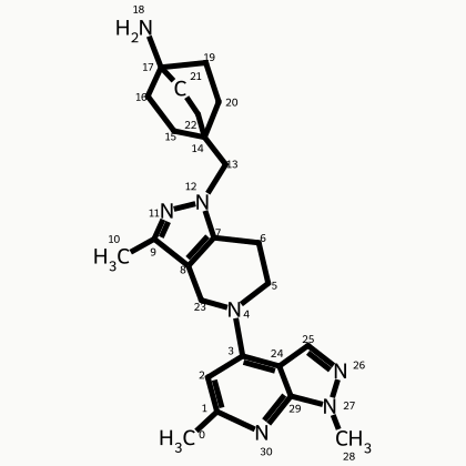 Cc1cc(N2CCc3c(c(C)nn3CC34CCC(N)(CC3)CC4)C2)c2cnn(C)c2n1